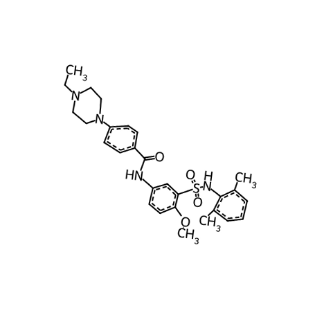 CCN1CCN(c2ccc(C(=O)Nc3ccc(OC)c(S(=O)(=O)Nc4c(C)cccc4C)c3)cc2)CC1